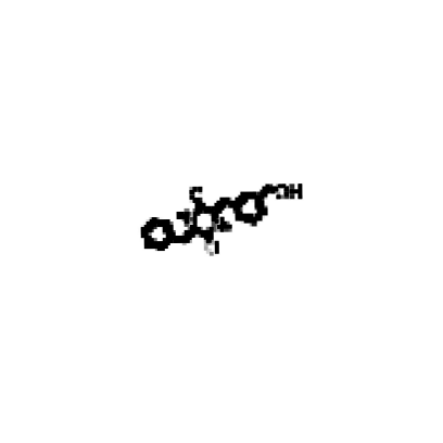 Cn1c(=O)c(=Cc2cccc(CO)c2)n(C)c(=O)c1=Cc1ccccc1